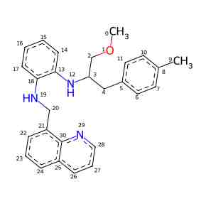 COCC(Cc1ccc(C)cc1)Nc1ccccc1NCc1cccc2cccnc12